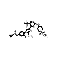 Cc1nc(-c2nc(NC3CCN(S(C)(=O)=O)CC3)ncc2C(F)(F)F)cn1-c1ccc(CNC2CC2)cc1F